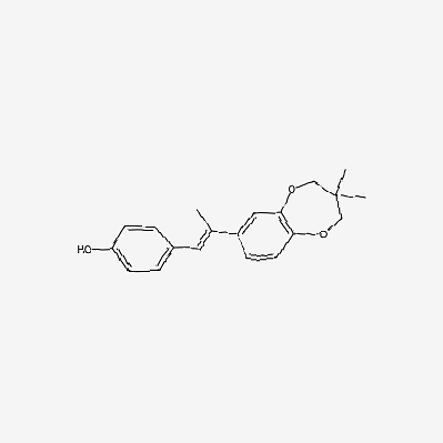 C/C(=C\c1ccc(O)cc1)c1ccc2c(c1)OCC(C)(C)CO2